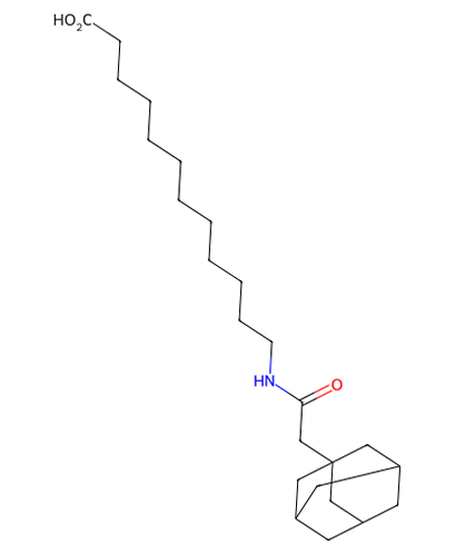 O=C(O)CCCCCCCCCCCNC(=O)CC12CC3CC(CC(C3)C1)C2